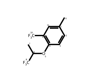 Cc1ccc(OC(C)C(F)(F)F)c(C(F)(F)F)c1